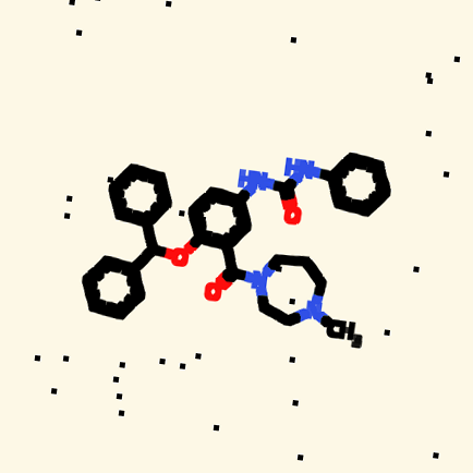 CN1CCCN(C(=O)c2cc(NC(=O)Nc3ccccc3)ccc2OC(c2ccccc2)c2ccccc2)CC1